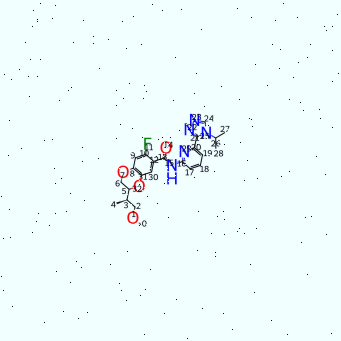 COC[C@@H](C)C1COc2cc(F)c(C(=O)Nc3cccc(-c4nncn4C(C)C)n3)cc2O1